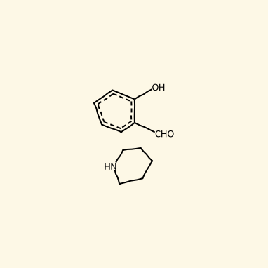 C1CCNCC1.O=Cc1ccccc1O